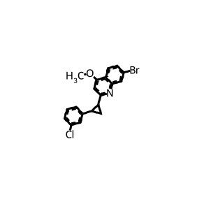 COc1cc(C2CC2c2cccc(Cl)c2)nc2cc(Br)ccc12